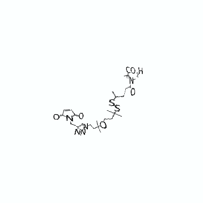 CC(CCC(=O)N(C)[C@@H](C)C(=O)O)SSC(C)(C)CCOC(C)(C)CCn1cc(CN2C(=O)C=CC2=O)nn1